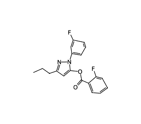 CCCc1cc(OC(=O)c2ccccc2F)n(-c2cccc(F)c2)n1